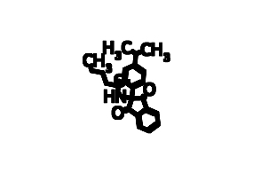 CCCCC(=O)NC1(c2[c]cc(C(C)C)cc2)C(=O)c2ccccc2C1=O